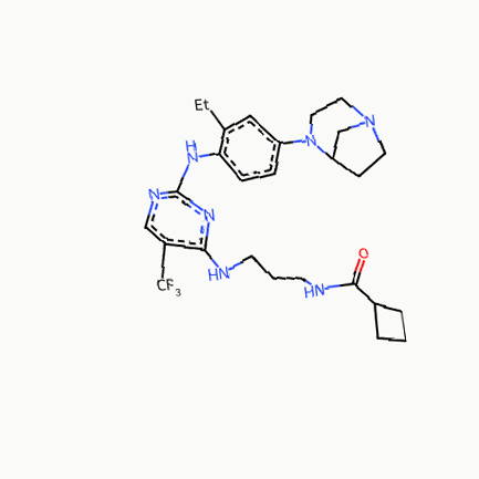 CCc1cc(N2CCN3CCC2C3)ccc1Nc1ncc(C(F)(F)F)c(NCCCNC(=O)C2CCC2)n1